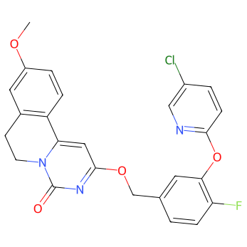 COc1ccc2c(c1)CCn1c-2cc(OCc2ccc(F)c(Oc3ccc(Cl)cn3)c2)nc1=O